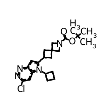 CC(C)(C)OC(=O)N1CC2(CC(c3cc4nnc(Cl)cc4n3C3CCC3)C2)C1